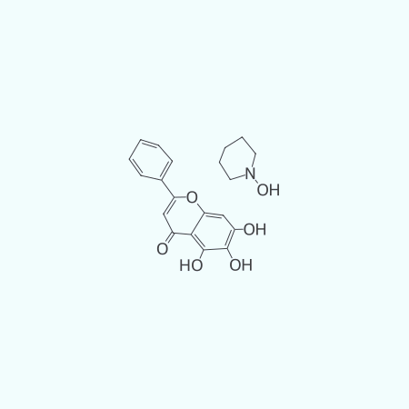 O=c1cc(-c2ccccc2)oc2cc(O)c(O)c(O)c12.ON1CCCCC1